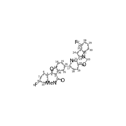 CNC(=O)c1c(-c2ccc(F)cc2)oc2ccc(-c3ccc4c(n3)-c3cc5c(F)cccc5n3CO4)cc12